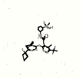 Cc1cc(C2(F)CCC2)nnc1Oc1nnc(C(F)(F)F)c(C)c1C(=O)Nc1cccc(S(C)(=N)=O)c1